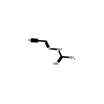 N#CC=NNC(=N)N